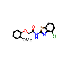 COc1ccccc1OCC(=O)Nc1nc2c(Cl)cccc2s1